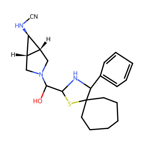 N#CN[C@H]1[C@@H]2CN(C(O)C3NC(c4ccccc4)C4(CCCCCC4)S3)C[C@@H]21